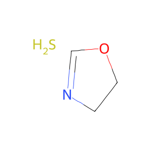 C1=NCCO1.S